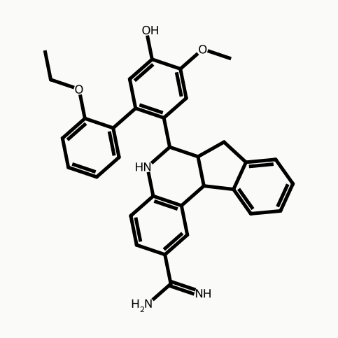 CCOc1ccccc1-c1cc(O)c(OC)cc1C1Nc2ccc(C(=N)N)cc2C2c3ccccc3CC12